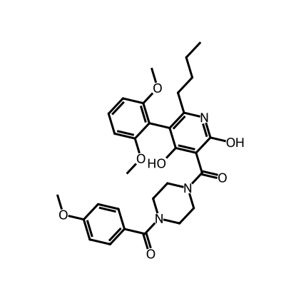 CCCCc1nc(O)c(C(=O)N2CCN(C(=O)c3ccc(OC)cc3)CC2)c(O)c1-c1c(OC)cccc1OC